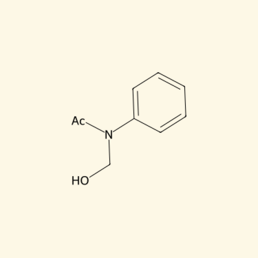 CC(=O)N(CO)c1ccccc1